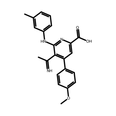 COc1ccc(-c2cc(C(=O)O)nc(Nc3cccc(C)c3)c2C(C)=N)cc1